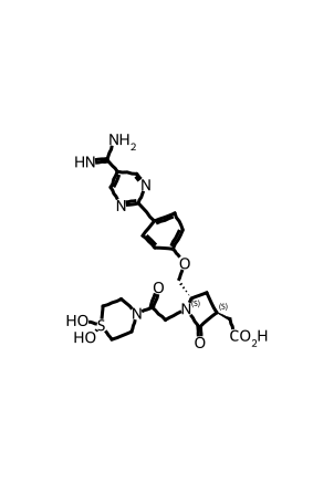 N=C(N)c1cnc(-c2ccc(OC[C@@H]3C[C@@H](CC(=O)O)C(=O)N3CC(=O)N3CCS(O)(O)CC3)cc2)nc1